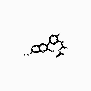 C=C(C)OC(=O)Nc1cc(-c2cc3cnc(NC(C)=O)cc3nc2CC)ccc1F